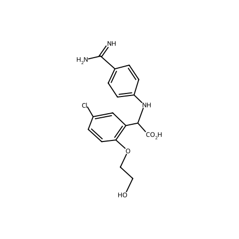 N=C(N)c1ccc(NC(C(=O)O)c2cc(Cl)ccc2OCCO)cc1